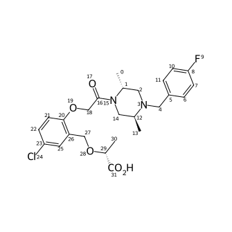 C[C@@H]1CN(Cc2ccc(F)cc2)[C@@H](C)CN1C(=O)COc1ccc(Cl)cc1CO[C@H](C)C(=O)O